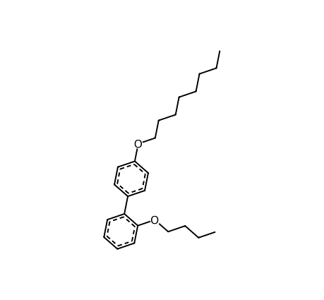 CCCCCCCCOc1ccc(-c2ccccc2OCCCC)cc1